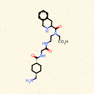 NC[C@H]1CC[C@H](C(=O)NCC(=O)NCCN(CC(=O)O)C(=O)C2Cc3ccccc3CN2)CC1